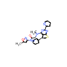 Cc1cc(NC(=O)CN(C)c2nc(-c3ccccn3)nc3scc(-c4ccccc4)c23)no1